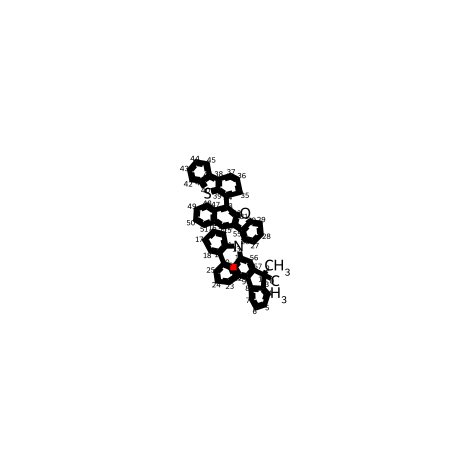 CC1(C)c2ccccc2-c2ccc(N(c3ccccc3-c3ccccc3)c3cccc4oc5c(-c6cccc7c6sc6ccccc67)c6ccccc6cc5c34)cc21